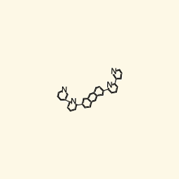 c1cncc(-c2cccc(-c3ccc4cc5cc(-c6cccc(-c7cccnc7)n6)ccc5cc4c3)n2)c1